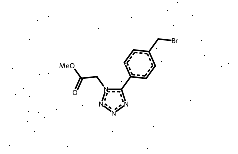 COC(=O)Cn1nnnc1-c1ccc(CBr)cc1